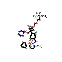 C[C@H]1CC[C@H](c2ccccc2)S(=O)(=O)N1Cc1cc(F)c(C2(COc3cnccn3)CC(C)(OCOCC[Si](C)(C)C)C2)cc1F